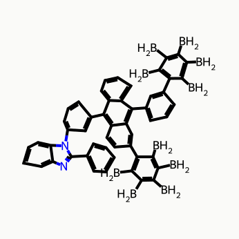 Bc1c(B)c(B)c(-c2cccc(-c3c4ccccc4c(-c4cccc(-n5c(-c6ccccc6)nc6ccccc65)c4)c4ccc(-c5c(B)c(B)c(B)c(B)c5B)cc34)c2)c(B)c1B